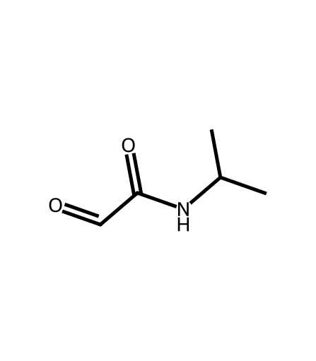 CC(C)NC(=O)C=O